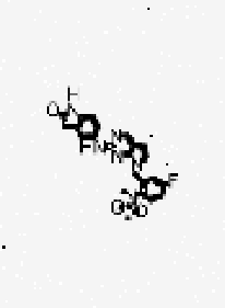 CN(c1ccc(F)cc1Cn1ccc2cnc(Nc3ccc4c(c3)CC(=O)N4)nc21)S(C)(=O)=O